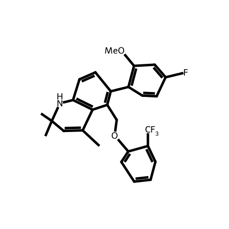 COc1cc(F)ccc1-c1ccc2c(c1COc1ccccc1C(F)(F)F)C(C)=CC(C)(C)N2